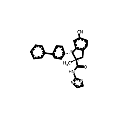 C[C@]1(C(=O)Nc2nccs2)Cc2ccc(C#N)cc2[C@H]1c1ccc(-c2ccccc2)cc1